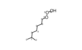 CC(C)CCCCCOOO